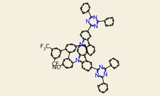 N#Cc1ccc(-n2c3ccccc3c3cc(-c4nc(-c5ccccc5)nc(-c5ccccc5)n4)ccc32)c(-c2cc(-n3c4ccccc4c4cc(-c5nc(-c6ccccc6)nc(-c6ccccc6)n5)ccc43)ccc2-c2cc(C(F)(F)F)cc(C(F)(F)F)c2)c1